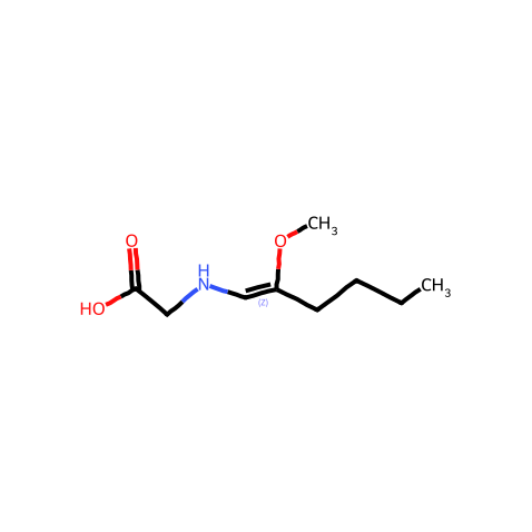 CCCC/C(=C/NCC(=O)O)OC